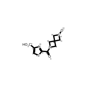 O=C(O)c1csc(C(=O)N2CC3(C2)C[S+]([O-])C3)n1